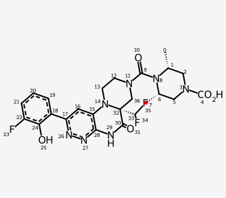 C[C@@H]1CN(C(=O)O)C[C@H](C)N1C(=O)N1CCN2c3cc(-c4cccc(F)c4O)nnc3NC(=O)[C@]2(C(F)F)C1